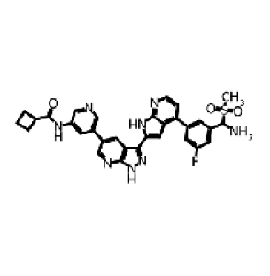 CS(=O)(=O)C(N)c1cc(F)cc(-c2ccnc3[nH]c(-c4n[nH]c5ncc(-c6cncc(NC(=O)C7CCC7)c6)cc45)cc23)c1